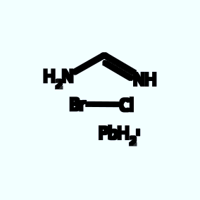 ClBr.N=CN.[PbH2]